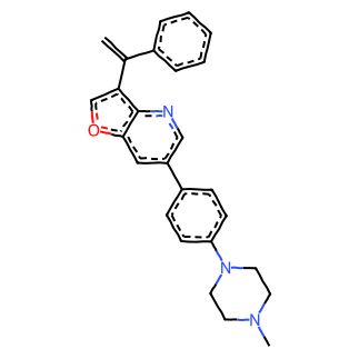 C=C(c1ccccc1)c1coc2cc(-c3ccc(N4CCN(C)CC4)cc3)cnc12